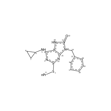 CCCSc1nc(NC2CC2)c2[nH]c(=O)n(Cc3ccccc3)c2n1